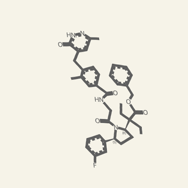 CCC(CC)(C(=O)OCc1ccccc1)[C@H]1CC[C@@H](c2cccc(F)c2)N1C(=O)CNC(=O)c1ccc(Cc2cc(C)n[nH]c2=O)c(C)c1